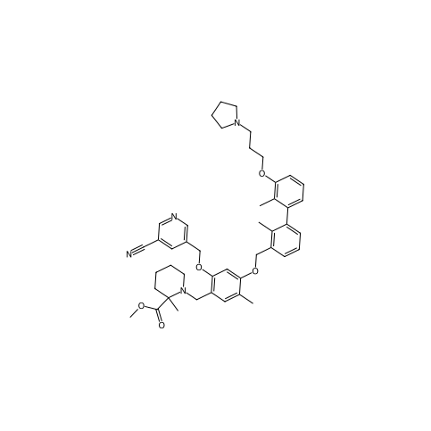 COC(=O)C1(C)CCCCN1Cc1cc(C)c(OCc2cccc(-c3cccc(OCCCN4CCCC4)c3C)c2C)cc1OCc1cncc(C#N)c1